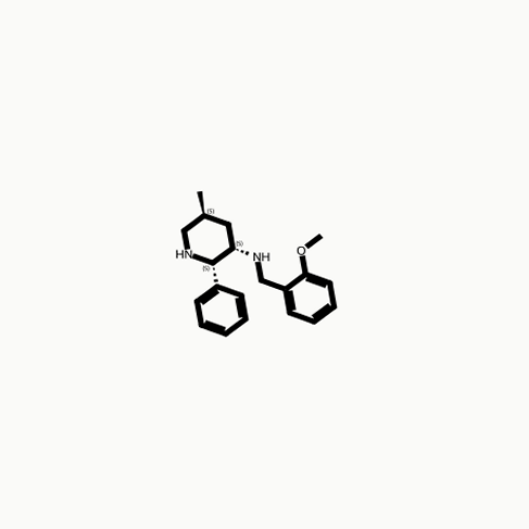 COc1ccccc1CN[C@H]1C[C@H](C)CN[C@H]1c1ccccc1